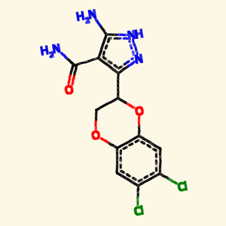 NC(=O)c1c(C2COc3cc(Cl)c(Cl)cc3O2)n[nH]c1N